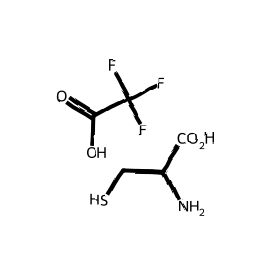 NC(CS)C(=O)O.O=C(O)C(F)(F)F